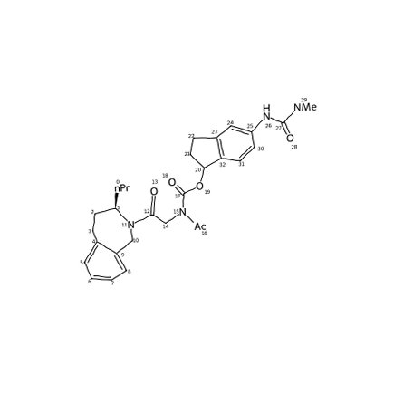 CCC[C@@H]1CCc2ccccc2CN1C(=O)CN(C(C)=O)C(=O)OC1CCc2cc(NC(=O)NC)ccc21